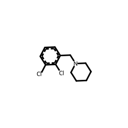 Clc1cccc(CN2CCCCC2)c1Cl